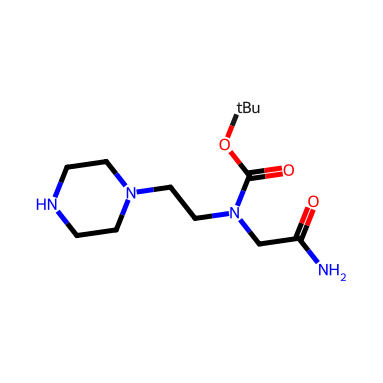 CC(C)(C)OC(=O)N(CCN1CCNCC1)CC(N)=O